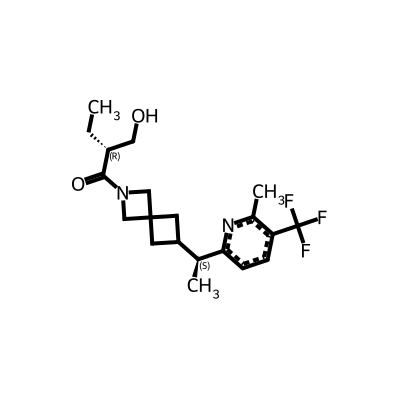 CC[C@H](CO)C(=O)N1CC2(CC([C@H](C)c3ccc(C(F)(F)F)c(C)n3)C2)C1